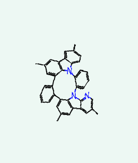 Cc1ccc2c(c1)c1cc(C)cc3c4ccccc4c4cc(C)cc5c6cc(C)cnc6n(c6ccccc6n2c31)c45